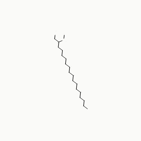 CCCCCCCCCCCCCCCCC(CO)OC